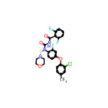 O=C(NC(=O)N(SN1CCOCC1)c1ccc(Oc2ccc(C(F)(F)F)cc2Cl)cc1F)c1c(F)cccc1F